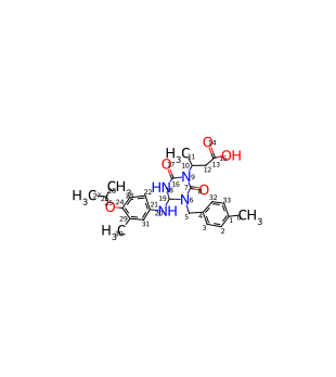 Cc1ccc(CN2C(=O)N(C(C)CC(=O)O)C(=O)NC2Nc2ccc(OC(C)C)c(C)c2)cc1